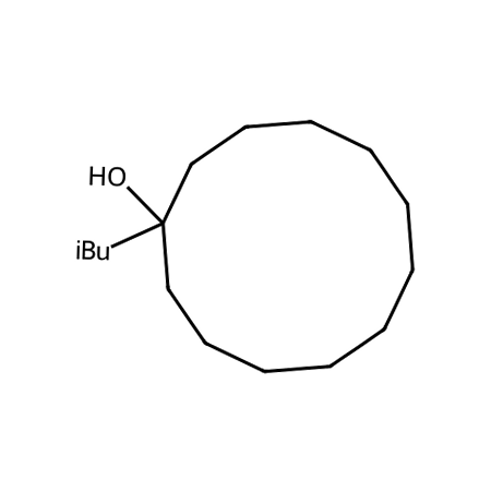 CCC(C)C1(O)CCCCCCCCCCC1